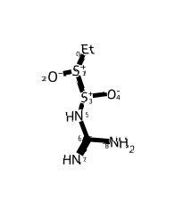 CC[S+]([O-])[S+]([O-])NC(=N)N